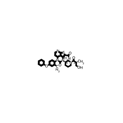 Cc1cc(Oc2ccccc2)ccc1N1C(=O)N([C@@H]2CCCN(C(=O)[C@H](C)CO)C2)c2c(C(N)=O)sc3nccc1c23